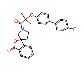 CC(C)(Oc1ccc(-c2ccc(F)cc2)cc1)C(=O)N1CCC2(C1)OC(=O)c1ccccc12